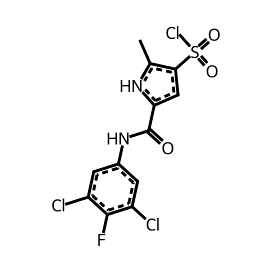 Cc1[nH]c(C(=O)Nc2cc(Cl)c(F)c(Cl)c2)cc1S(=O)(=O)Cl